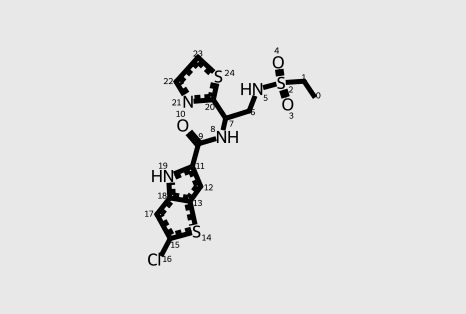 CCS(=O)(=O)NCC(NC(=O)c1cc2sc(Cl)cc2[nH]1)c1nccs1